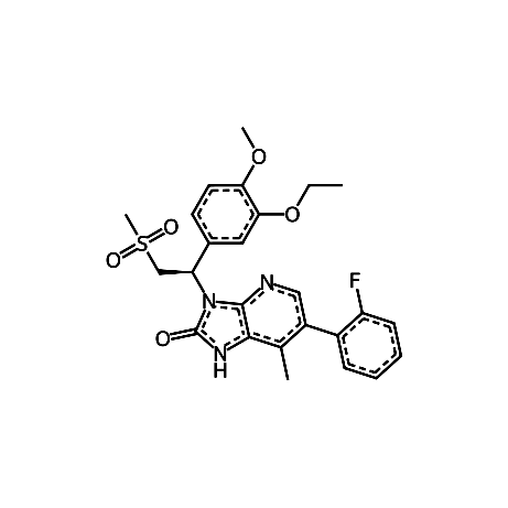 CCOc1cc([C@H](CS(C)(=O)=O)n2c(=O)[nH]c3c(C)c(-c4ccccc4F)cnc32)ccc1OC